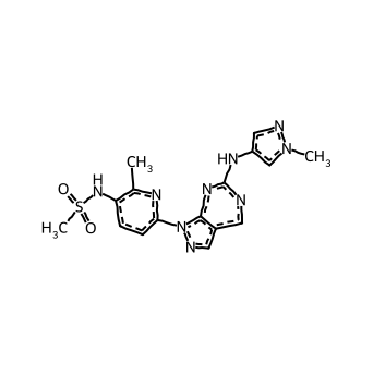 Cc1nc(-n2ncc3cnc(Nc4cnn(C)c4)nc32)ccc1NS(C)(=O)=O